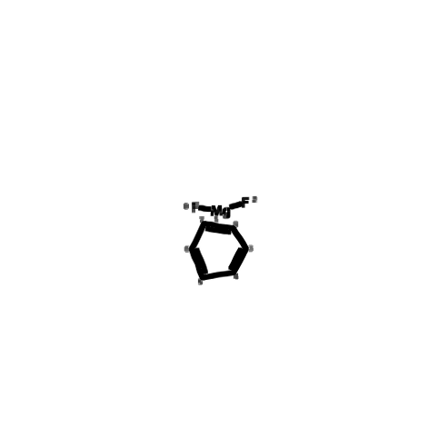 [F][Mg][F].[c]1ccccc1